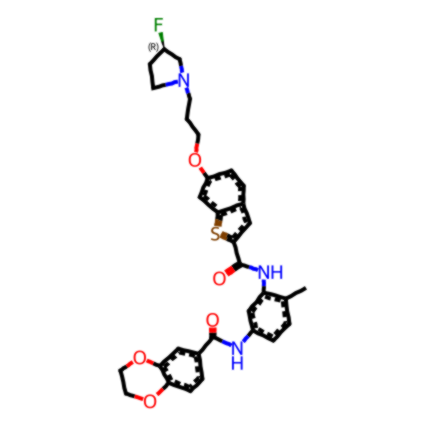 Cc1ccc(NC(=O)c2ccc3c(c2)OCCO3)cc1NC(=O)c1cc2ccc(OCCCN3CC[C@@H](F)C3)cc2s1